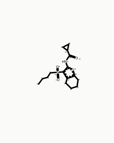 CCCCS(=O)(=O)c1c(NC(=O)C2CC2)sc2c1CCCC2